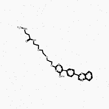 COc1nc(OCCOCCOCCNC(=O)C[CH2][AlH][CH3])ncc1-c1ccc(-c2cnc3ccccc3n2)cc1